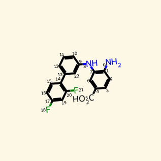 Nc1ccc(C(=O)O)cc1Nc1cccc(-c2ccc(F)cc2F)c1